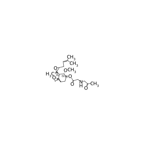 CO[C@@H]1[C@H](OC(=O)CNCC(C)=O)CC[C@]2(CO2)[C@H]1[C@@]1(C)OC1CC=C(C)C